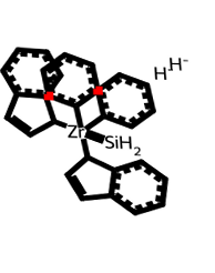 [H-].[H-].[SiH2]=[Zr]([c]1ccccc1)([c]1ccccc1)([CH]1C=Cc2ccccc21)[CH]1C=Cc2ccccc21